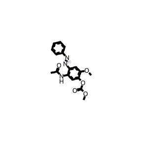 COC(=O)Oc1cc(NC(C)=O)c(/N=N/c2ccccc2)cc1OC